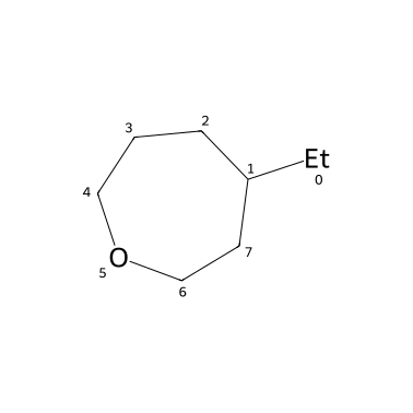 CCC1CCCOCC1